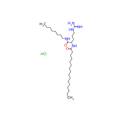 CCCCCCCCCCCCCCCC(=O)NC(CCCNC(=N)N)C(=O)NCCCCCCCC.Cl